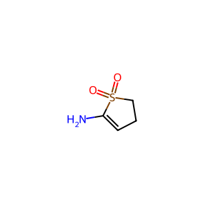 NC1=CCCS1(=O)=O